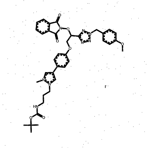 COc1ccc(Cn2nnc(C(COc3ccc(-c4cn(CCCNC(=O)OC(C)(C)C)[n+](C)c4)cc3)ON3C(=O)c4ccccc4C3=O)n2)cc1.[I-]